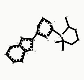 CC1C[CH]CC(C)(C)N1c1nccc(-c2cc3ccccc3s2)n1